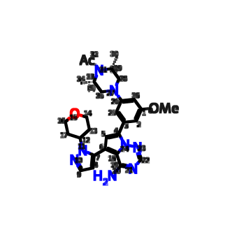 COc1cc(-c2cc(-c3ccnn3C3CCOCC3)c3c(N)ncnn23)cc(N2C[C@@H](C)N(C(C)=O)[C@@H](C)C2)c1